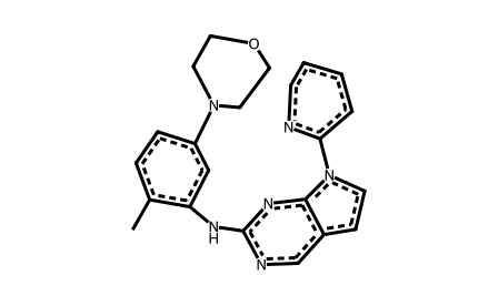 Cc1ccc(N2CCOCC2)cc1Nc1ncc2ccn(-c3ccccn3)c2n1